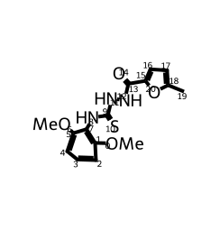 COc1cccc(OC)c1NC(=S)NNC(=O)c1ccc(C)o1